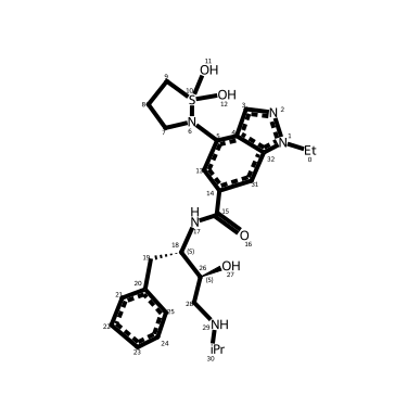 CCn1ncc2c(N3CCCS3(O)O)cc(C(=O)N[C@@H](Cc3ccccc3)[C@@H](O)CNC(C)C)cc21